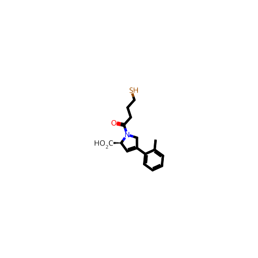 Cc1ccccc1C1=C[C@@H](C(=O)O)N(C(=O)CCCS)C1